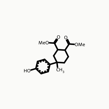 COC(=O)C1CCC(C)(c2ccc(O)cc2)CC1C(=O)OC